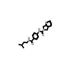 CC(C)CCNC(=O)c1ccc(NC(=O)N2Cc3cccnc3C2)cc1